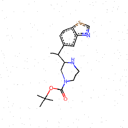 CC(c1ccc2scnc2c1)C1CN(C(=O)OC(C)(C)C)CCN1